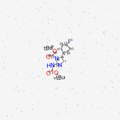 CC(C)(C)OC(=O)NC1=NCC(c2ccc(I)cc2)N1C(=O)OC(C)(C)C